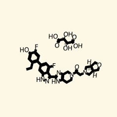 CCc1cc(O)c(F)cc1-c1cc(F)c2c(-c3nc4c([nH]3)CCN(C(=O)CN3C[C@H]5COC[C@H]5C3)C4)n[nH]c2c1.O=C(O)[C@H](O)[C@@H](O)C(=O)O